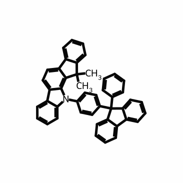 CC1(C)c2ccccc2-c2ccc3c4ccccc4n(-c4ccc(C5(c6ccccc6)c6ccccc6-c6ccccc65)cc4)c3c21